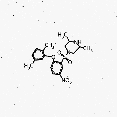 Cc1ccc(C)c(Oc2ccc([N+](=O)[O-])cc2S(=O)(=O)N2CC(C)NC(C)C2)c1